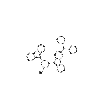 Brc1cc(-n2c3ccccc3c3ccccc32)cc(-n2c3ccccc3c3cc(N(c4ccccc4)c4ccccc4)ccc32)c1